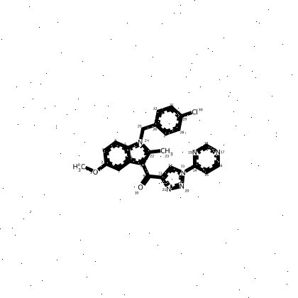 COc1ccc2c(c1)c(C(=O)c1cn(-c3ccncn3)nn1)c(C)n2Cc1ccc(Cl)cc1